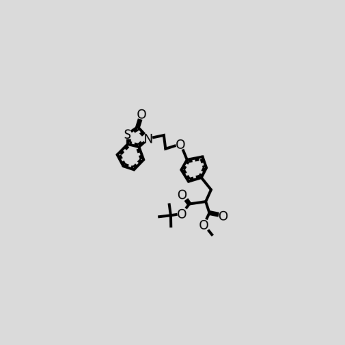 COC(=O)C(Cc1ccc(OCCn2c(=O)sc3ccccc32)cc1)C(=O)OC(C)(C)C